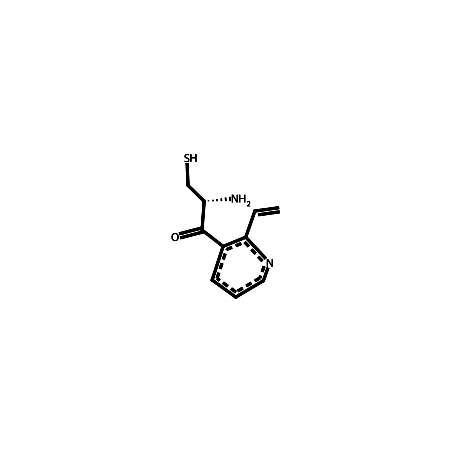 C=Cc1ncccc1C(=O)[C@@H](N)CS